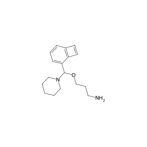 NCCCOC(c1cccc2c1C=C2)N1CCCCC1